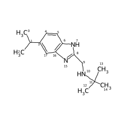 CC(C)c1ccc2[nH]c(CNC(C)(C)C)nc2c1